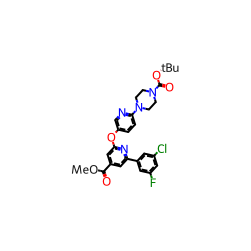 COC(=O)c1cc(Oc2ccc(N3CCN(C(=O)OC(C)(C)C)CC3)nc2)nc(-c2cc(F)cc(Cl)c2)c1